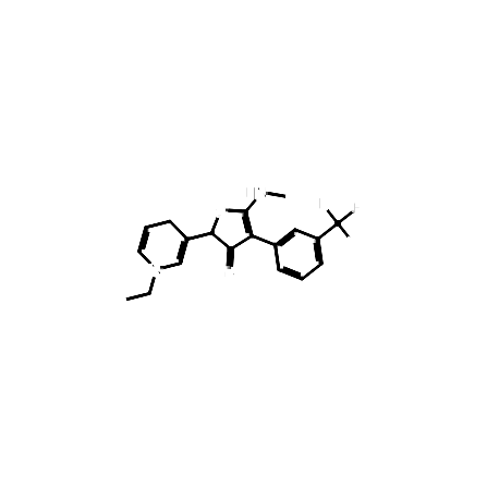 CCN1C=CCC(C2OC(NC)=C(c3cccc(C(F)(F)F)c3)C2=O)=C1